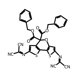 N#CC(C#N)=Nc1cc2c(s1)-c1sc(N=C(C#N)C#N)cc1C(C(=O)OCc1ccccc1)(C(=O)OCc1ccccc1)O2